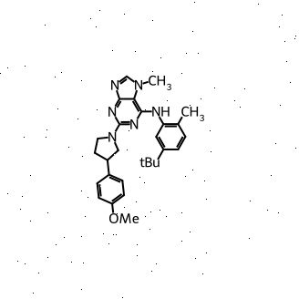 COc1ccc(C2CCN(c3nc(Nc4cc(C(C)(C)C)ccc4C)c4c(ncn4C)n3)C2)cc1